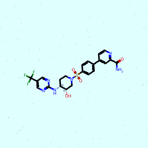 NC(=O)c1cc(-c2ccc(S(=O)(=O)N3CC[C@@H](Nc4ncc(C(F)(F)F)cn4)[C@@H](O)C3)cc2)ccn1